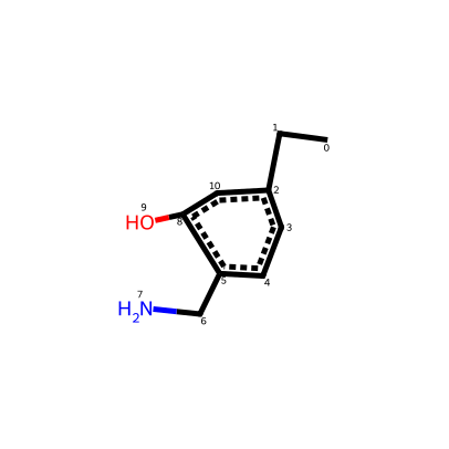 CCc1ccc(CN)c(O)c1